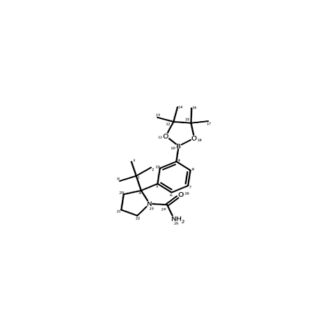 CC(C)(C)C1(c2cccc(B3OC(C)(C)C(C)(C)O3)c2)CCCN1C(N)=O